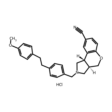 COc1ccc(CCc2ccc(CN3C[C@@H]4COc5ccc(C#N)cc5[C@H]4C3)cc2)cc1.Cl